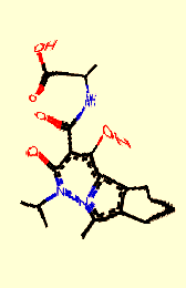 Cc1c2c(c3c(O)c(C(=O)NC(C)C(=O)O)c(=O)n(C(C)C)n13)CCC2